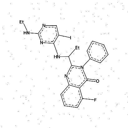 CCNc1ncc(I)c(NC(CC)c2nc3cccc(F)c3c(=O)n2-c2ccccc2)n1